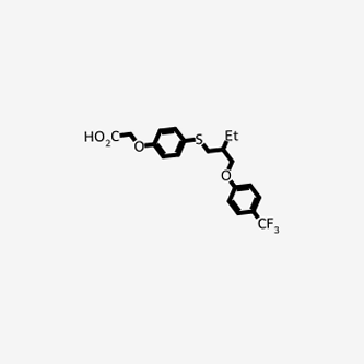 CCC(COc1ccc(C(F)(F)F)cc1)CSc1ccc(OCC(=O)O)cc1